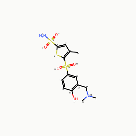 Cc1cc(S(N)(=O)=O)sc1S(=O)(=O)c1ccc(O)c(CN(C)C)c1